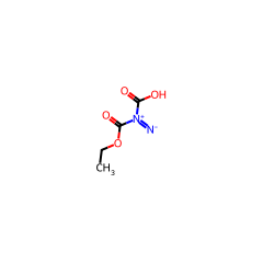 CCOC(=O)[N+](=[N-])C(=O)O